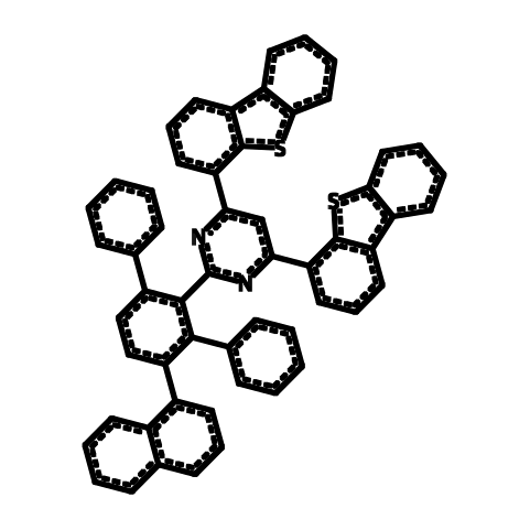 c1ccc(-c2ccc(-c3cccc4ccccc34)c(-c3ccccc3)c2-c2nc(-c3cccc4c3sc3ccccc34)cc(-c3cccc4c3sc3ccccc34)n2)cc1